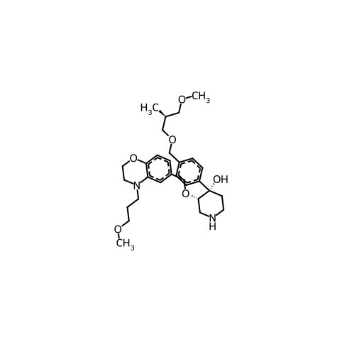 COCCCN1CCOc2ccc(CO[C@H]3CNCC[C@]3(O)c3ccc(COC[C@@H](C)COC)cc3)cc21